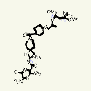 C=C(COc1ccc(C(=O)N2CCC3(CC2)CN/C(=N\C(=O)c2nc(Cl)c(N)nc2N)N3)cc1)/N=C(\C=C(/N)OC)OC